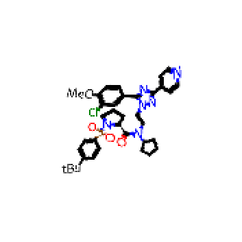 COc1ccc(-c2nc(-c3ccncc3)nn2CCN(C(=O)[C@@H]2CCCN2S(=O)(=O)c2ccc(C(C)(C)C)cc2)C2CCCC2)cc1Cl